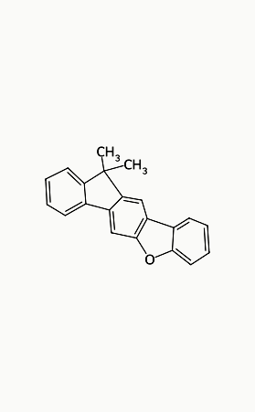 CC1(C)c2ccccc2-c2cc3oc4ccccc4c3cc21